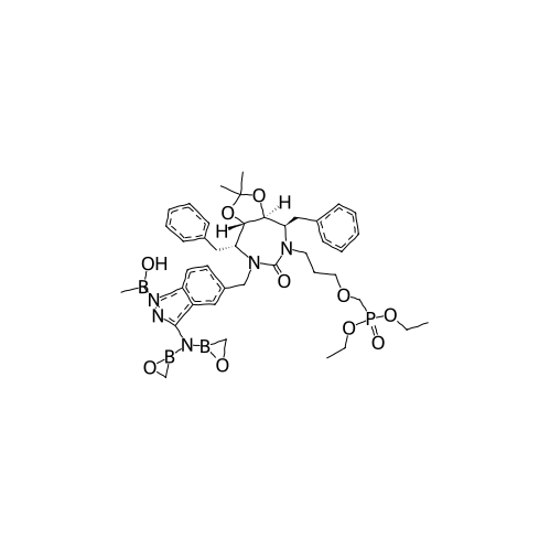 CCOP(=O)(COCCCN1C(=O)N(Cc2ccc3c(c2)c(N(B2CO2)B2CO2)nn3B(C)O)[C@H](Cc2ccccc2)[C@@H]2OC(C)(C)O[C@H]2[C@H]1Cc1ccccc1)OCC